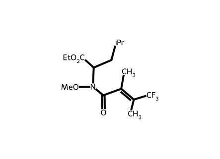 CCOC(=O)C(CC(C)C)N(OC)C(=O)/C(C)=C(\C)C(F)(F)F